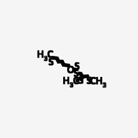 CSCC(CSC(=S)OCCCCCC(C)=S)SC